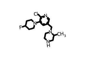 CC1CNCCN1Cc1cnc(Cl)c(N2CCC(F)CC2)c1